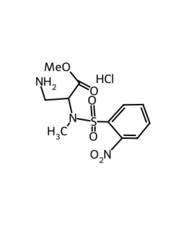 COC(=O)C(CN)N(C)S(=O)(=O)c1ccccc1[N+](=O)[O-].Cl